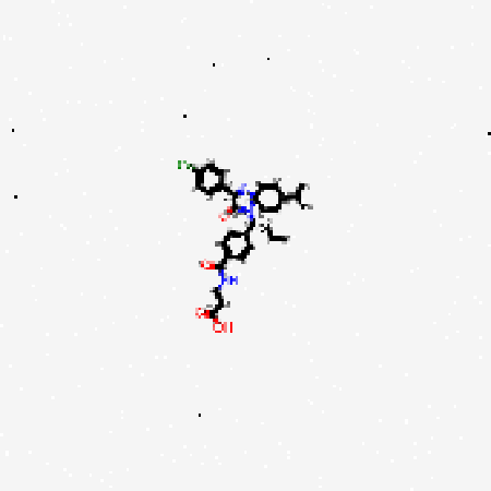 CCC[C@H](c1ccc(C(=O)NCCC(=O)O)cc1)N1C(=O)C(c2ccc(Cl)cc2)=NC12CCC(C(C)C)CC2